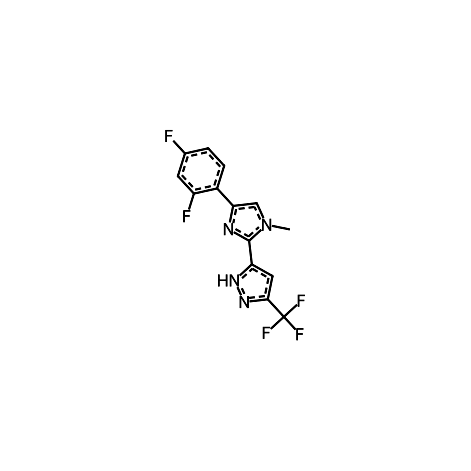 Cn1cc(-c2ccc(F)cc2F)nc1-c1cc(C(F)(F)F)n[nH]1